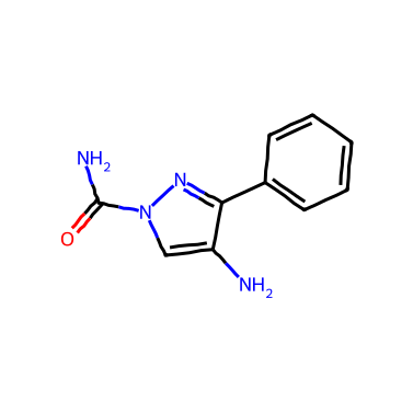 NC(=O)n1cc(N)c(-c2ccccc2)n1